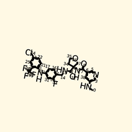 CNc1cncc(C(=O)N[C@@]2(C(=O)NCc3ccc(Nc4ccc(Cl)cc4C(F)(F)F)cc3F)CCOC2)c1